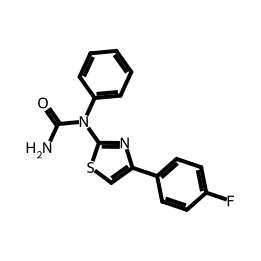 NC(=O)N(c1ccccc1)c1nc(-c2ccc(F)cc2)cs1